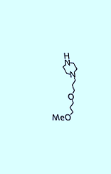 COCCCOCCCN1CCNCC1